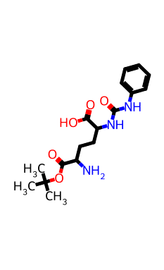 CC(C)(C)OC(=O)C(N)CCC(NC(=O)Nc1ccccc1)C(=O)O